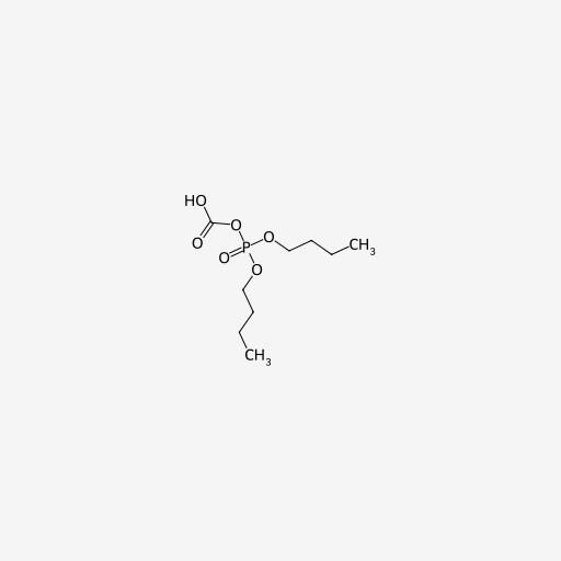 CCCCOP(=O)(OCCCC)OC(=O)O